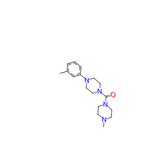 Cc1cccc(N2CCN(C(=O)N3CCN(C)CC3)CC2)c1